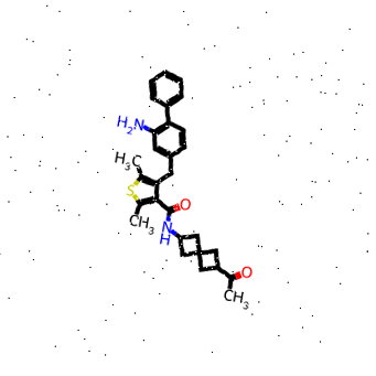 CC(=O)C1CC2(CC(NC(=O)c3c(C)sc(C)c3Cc3ccc(-c4ccccc4)c(N)c3)C2)C1